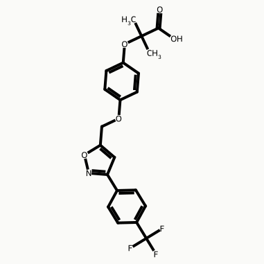 CC(C)(Oc1ccc(OCc2cc(-c3ccc(C(F)(F)F)cc3)no2)cc1)C(=O)O